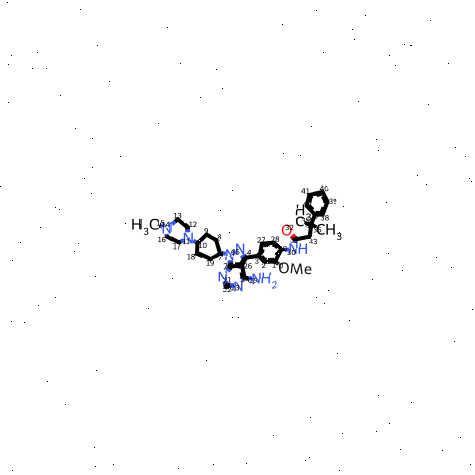 COc1cc(-c2nn(C3CCC(N4CCN(C)CC4)CC3)c3ncnc(N)c23)ccc1NC(=O)CC(C)(C)c1ccccc1